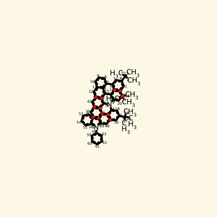 CC(C)(C)c1cc(-c2cccc3cccc(-c4ccccc4N(c4cc(C(C)(C)C)ccc4-c4ccccc4)c4ccccc4-c4cccc5c4c4ccccc4n5-c4ccccc4)c23)cc(C(C)(C)C)c1